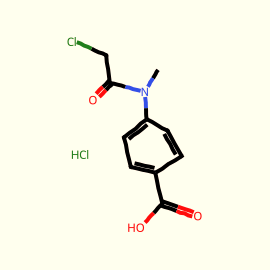 CN(C(=O)CCl)c1ccc(C(=O)O)cc1.Cl